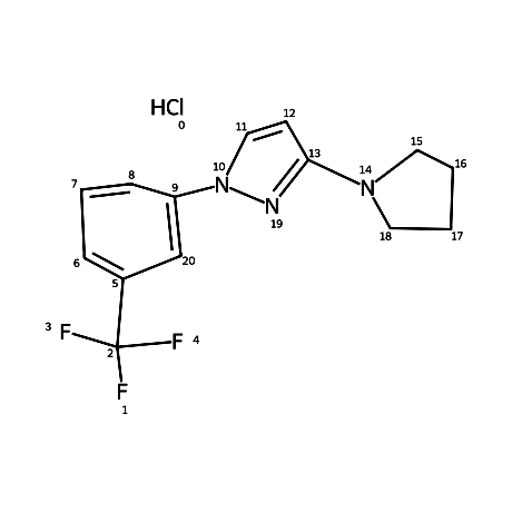 Cl.FC(F)(F)c1cccc(-n2ccc(N3CCCC3)n2)c1